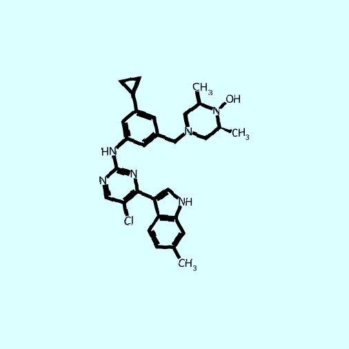 Cc1ccc2c(-c3nc(Nc4cc(CN5CC(C)N(O)[C@@H](C)C5)cc(C5CC5)c4)ncc3Cl)c[nH]c2c1